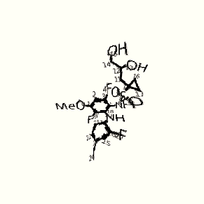 COc1cc(F)c(NS(=O)(=O)C2(CC(O)CO)CC2)c(Nc2ccc(I)cc2F)c1F